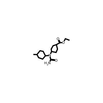 CCOC(=O)C1CCC(N(C(N)=O)C2CCC(C)CC2)CC1